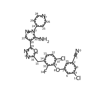 N#Cc1cc(Cl)cc(Oc2c(Cl)ccc(Cc3nnc(-c4cnn(-c5ccncc5)c4N)o3)c2F)c1